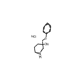 Cl.OC1(COc2ccccc2)CCCNC1